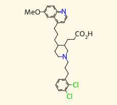 COc1ccc2nccc(CCCC3CCN(CCCc4cccc(Cl)c4Cl)CC3CCC(=O)O)c2c1